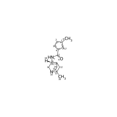 Cc1ccc(C(=O)N[C@H]2CN3CCC2CC3C)s1